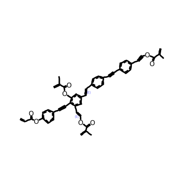 C=CC(=O)Oc1ccc(C#Cc2c(/C=C/OC(=O)C(=C)C)cc(/C=C/c3ccc(C#Cc4ccc(C#COC(=O)C(=C)C)cc4)cc3)cc2OC(=O)C(=C)C)cc1